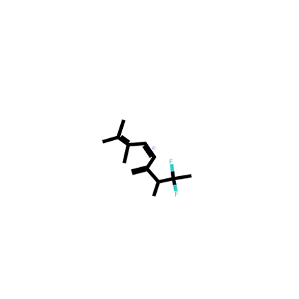 C=C(/C=C\C(C)=C(C)C)C(C)C(C)(F)F